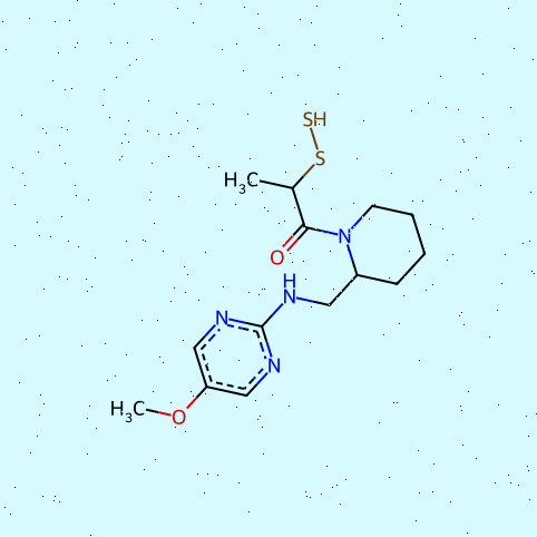 COc1cnc(NCC2CCCCN2C(=O)C(C)SS)nc1